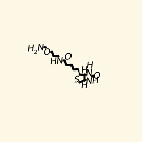 NCOCCCNC(=O)CCCC[C@@H]1SC[C@@H]2NC(=O)N[C@@H]21